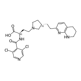 O=C(N[C@H](CCN1CC[C@H](CCc2ccc3c(n2)NCCC3)C1)C(=O)O)c1c(Cl)cncc1Cl